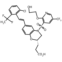 CC(F)(F)c1cccc(Cl)c1/C=C/c1ccc2c(c1)N(S(=O)(=O)c1cc(C(F)(F)F)cnc1OCCO)C[C@H](CCC(=O)O)O2